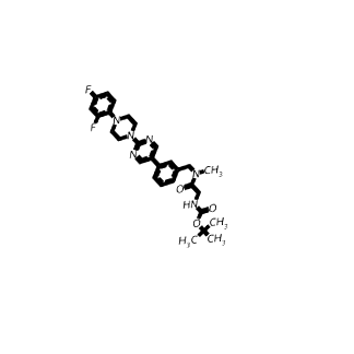 CN(Cc1cccc(-c2cnc(N3CCN(c4ccc(F)cc4F)CC3)nc2)c1)C(=O)CNC(=O)OC(C)(C)C